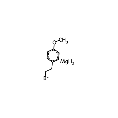 COc1ccc(CCBr)cc1.[MgH2]